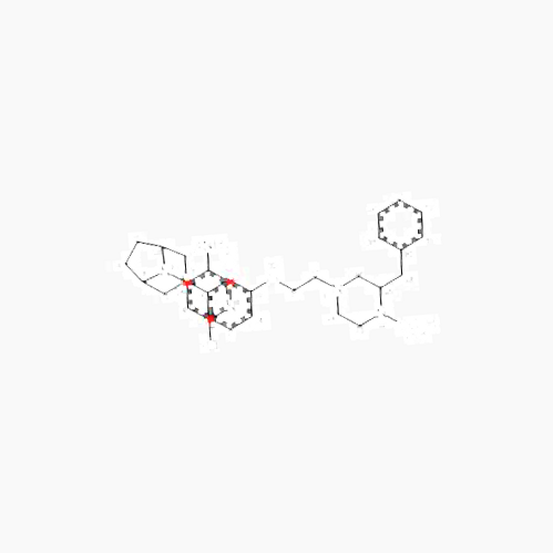 Nc1nnc(Cl)cc1N1C2CCC1CN(c1cccc(OCCN3CCN(C(=O)O)C(Cc4ccccc4)C3)c1)C2